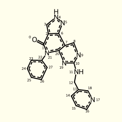 O=c1c2c[nH]nc2c2cnc(NCc3cccnc3)nc2n1-c1ccccc1